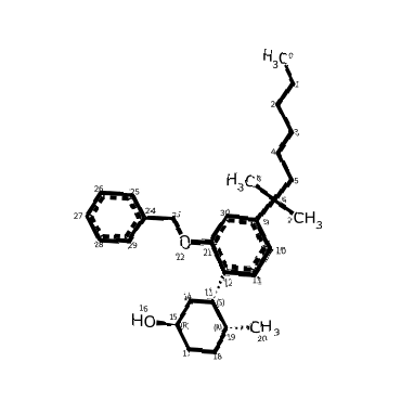 CCCCCCC(C)(C)c1ccc([C@H]2C[C@H](O)CC[C@H]2C)c(OCc2ccccc2)c1